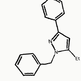 CCc1cc(-c2ccccc2)nn1Cc1ccccc1